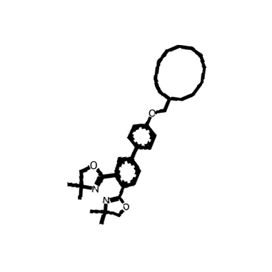 CC1(C)COC(c2ccc(-c3ccc(OCC4CCCCCCCCCCC4)cc3)cc2C2=NC(C)(C)CO2)=N1